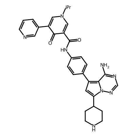 CC(C)n1cc(C(=O)Nc2ccc(-c3cc(C4CCNCC4)n4ncnc(N)c34)cc2)c(=O)c(-c2cccnc2)c1